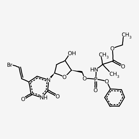 CCOC(=O)C(C)(C)NP(=O)(OC[C@H]1O[C@@H](n2cc(/C=C/Br)c(=O)[nH]c2=O)CC1O)Oc1ccccc1